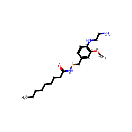 CCCCCCCCC(=O)NSCc1ccc(NCCN)c(OC)c1